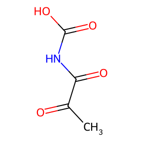 CC(=O)C(=O)NC(=O)O